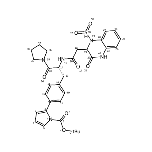 CC(C)(C)OC(=O)n1cccc1-c1ccc(C[C@@H](NC(=O)CC2C(=O)Nc3ccccc3N2[SH](=O)=O)C(=O)N2CCCC2)cc1